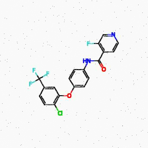 O=C(Nc1ccc(Oc2cc(C(F)(F)F)ccc2Cl)cc1)c1ccncc1F